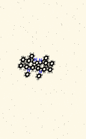 c1ccc(-c2ccc3c(n2)-c2nc(-c4ccccc4)ccc2C3(c2ccc3c(c2)c2cc([Si](c4ccccc4)(c4ccccc4)c4ccccc4)ccc2n3-c2ccccc2)c2ccc3c(c2)c2cc([Si](c4ccccc4)(c4ccccc4)c4ccccc4)ccc2n3-c2ccccc2)cc1